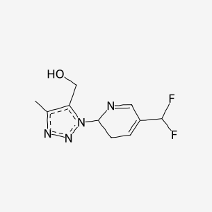 Cc1nnn(C2CC=C(C(F)F)C=N2)c1CO